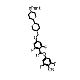 CCCCC[C@H]1CC[C@H]([C@H]2CC[C@H](COc3cc(F)c(C(=O)Oc4cc(F)c(C#N)c(F)c4)c(F)c3)CC2)CC1